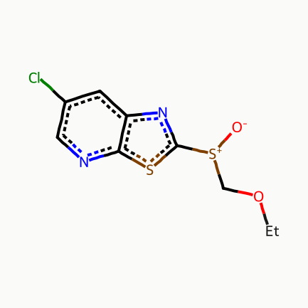 CCOC[S+]([O-])c1nc2cc(Cl)cnc2s1